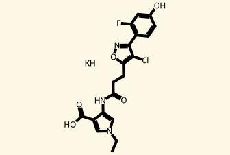 CCn1cc(NC(=O)CCc2onc(-c3ccc(O)cc3F)c2Cl)c(C(=O)O)c1.[KH]